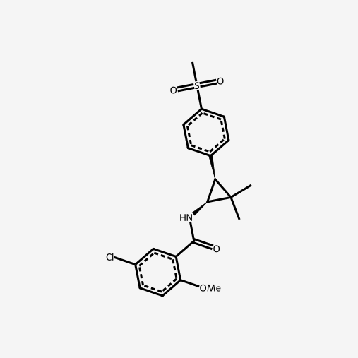 COc1ccc(Cl)cc1C(=O)N[C@H]1[C@@H](c2ccc(S(C)(=O)=O)cc2)C1(C)C